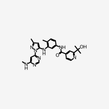 CNc1cc(-n2nc(C)cc2Nc2cc(NC(=O)c3ccnc(C(C)(C)O)c3)ccc2C)ncn1